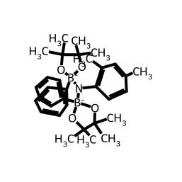 Cc1ccc(N([B-]2(c3ccccc3)OC(C)(C)C(C)(C)O2)[B-]2(c3ccccc3)OC(C)(C)C(C)(C)O2)c(C)c1